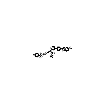 COc1ccc2nc(-c3ccc(-c4ccnc(N(CCOCCOS(=O)(=O)c5ccc(C)cc5)C(=O)OC(C)(C)C)c4)cc3)cn2c1